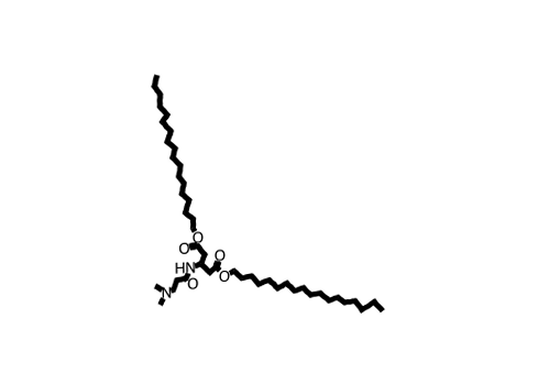 CCCCCCCCCCCCCCCCCCOC(=O)CC(CC(=O)OCCCCCCCCCCCCCCCCCC)NC(=O)CCN(C)C